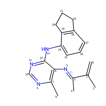 C=C(C)/C(C)=N/c1c(C)ncnc1Nc1cccc2c1CCC2